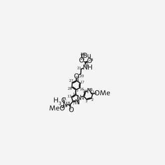 COc1ccc(-n2nc(C(=O)N(C)OC)cc2-c2ccc(OCCNC(=O)OC(C)(C)C)cc2)cn1